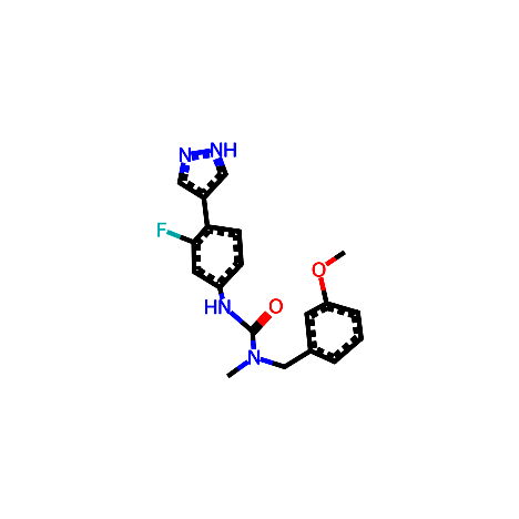 COc1cccc(CN(C)C(=O)Nc2ccc(-c3cn[nH]c3)c(F)c2)c1